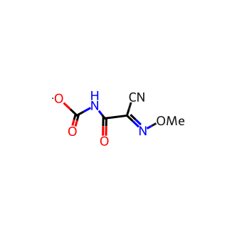 CO/N=C(\C#N)C(=O)NC([O])=O